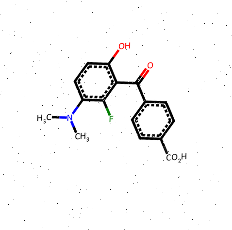 CN(C)c1ccc(O)c(C(=O)c2ccc(C(=O)O)cc2)c1F